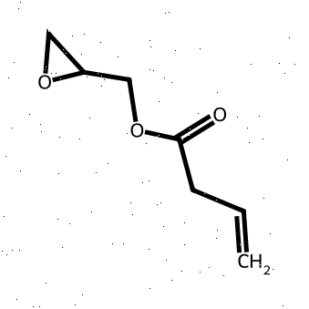 C=CCC(=O)OCC1CO1